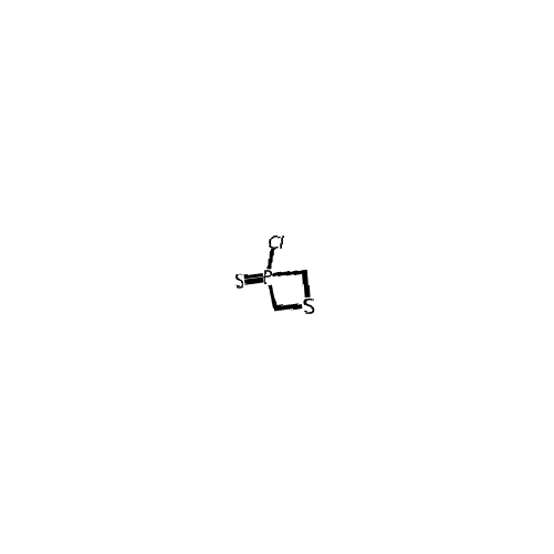 S=P1(Cl)CSC1